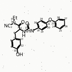 CCN(C#N)C(=O)C(Cc1ccc(O)cc1)NC(=O)Nc1ccc(Oc2ccccc2)cc1